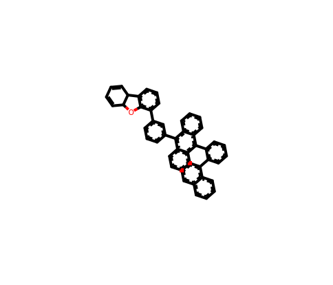 C1=CC2Oc3c(-c4cccc(-c5c6ccccc6c(-c6ccccc6-c6cccc7ccccc67)c6ccccc56)c4)cccc3C2C=C1